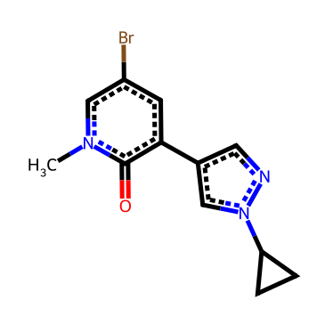 Cn1cc(Br)cc(-c2cnn(C3CC3)c2)c1=O